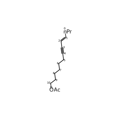 CCCC=CC#CCCCCCCOC(C)=O